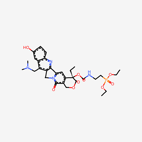 CCOP(=O)(CCNC(=O)O[C@]1(CC)C(=O)OCc2c1cc1n(c2=O)Cc2c-1nc1ccc(O)cc1c2CN(C)C)OCC